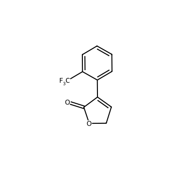 O=C1OCC=C1c1ccccc1C(F)(F)F